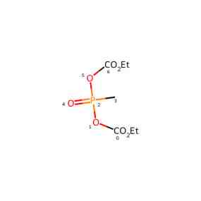 CCOC(=O)OP(C)(=O)OC(=O)OCC